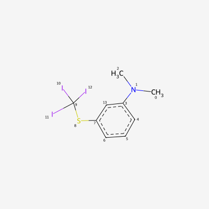 CN(C)c1cccc(SC(I)(I)I)c1